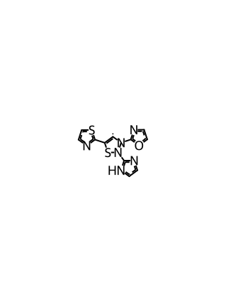 [C]1=C(c2nccs2)SN(c2ncc[nH]2)N1c1ncco1